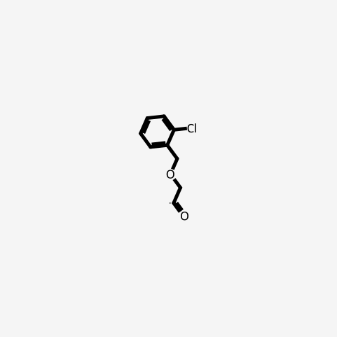 O=[C]COCc1ccccc1Cl